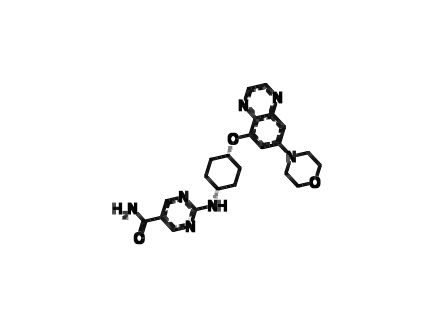 NC(=O)c1cnc(N[C@H]2CC[C@@H](Oc3cc(N4CCOCC4)cc4nccnc34)CC2)nc1